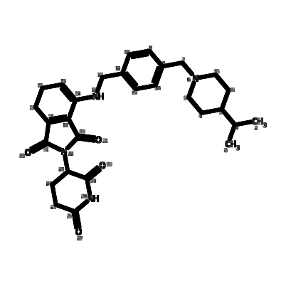 CC(C)C1CCN(Cc2ccc(CNC3=CCCC4=C3C(=O)N(C3CCC(=O)NC3=O)C4=O)cc2)CC1